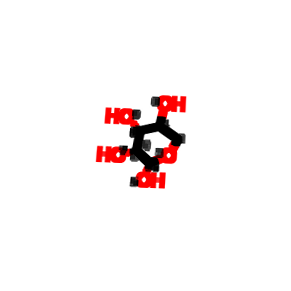 OC1CO[C@@H](O)[C@@H](O)[C@@H]1O